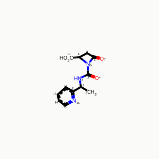 CC(NC(=O)N1C(=O)CC1C(=O)O)c1ccccn1